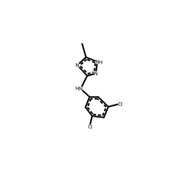 Cc1nc(Nc2cc(Cl)cc(Cl)c2)n[nH]1